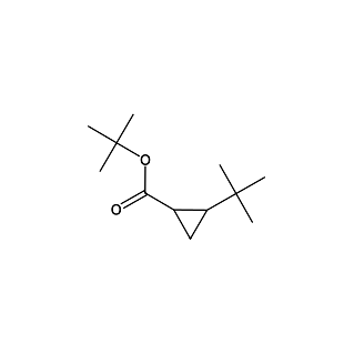 CC(C)(C)OC(=O)C1CC1C(C)(C)C